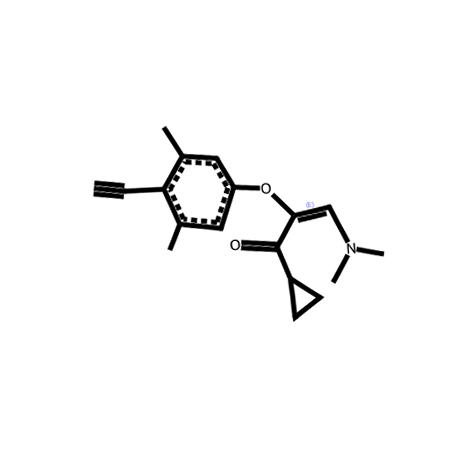 C#Cc1c(C)cc(O/C(=C/N(C)C)C(=O)C2CC2)cc1C